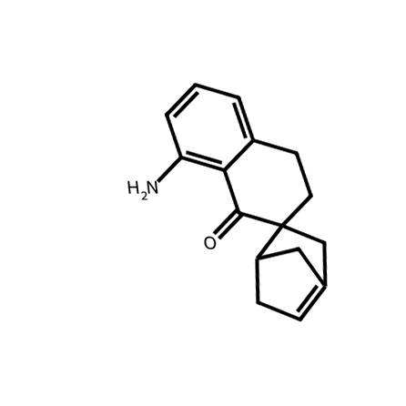 Nc1cccc2c1C(=O)C1(CC2)CC2=CCC1C2